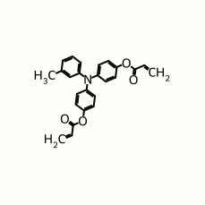 C=CC(=O)Oc1ccc(N(c2ccc(OC(=O)C=C)cc2)c2cccc(C)c2)cc1